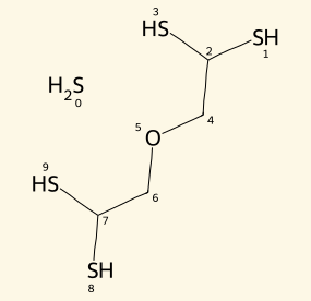 S.SC(S)COCC(S)S